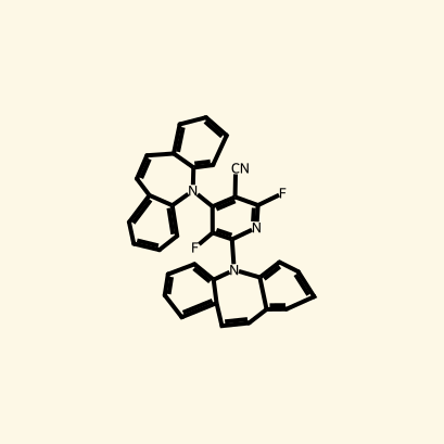 N#Cc1c(F)nc(N2c3ccccc3C=Cc3ccccc32)c(F)c1N1c2ccccc2C=Cc2ccccc21